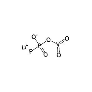 [Li+].[O]=[V](=[O])[O]P(=O)([O-])F